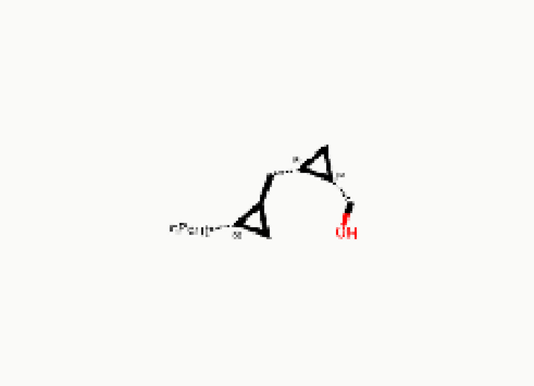 CCCCC[C@H]1CC1C[C@@H]1C[C@@H]1CO